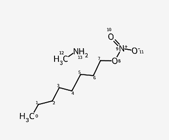 CCCCCCCCO[N+](=O)[O-].CN